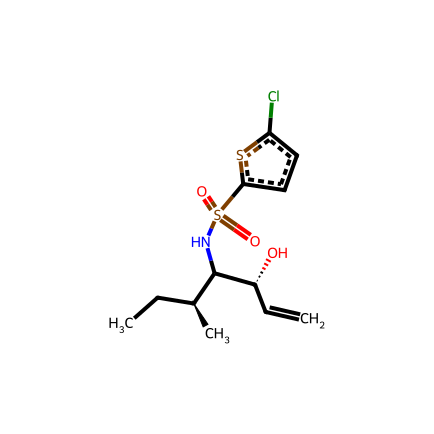 C=C[C@@H](O)C(NS(=O)(=O)c1ccc(Cl)s1)[C@@H](C)CC